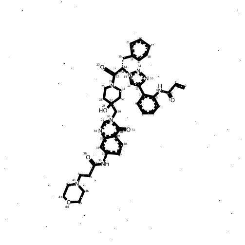 C=CC(=O)Nc1ccccc1-c1cn([C@@H](Cc2ccccc2)C(=O)N2CCC(O)(Cn3cnc4cc(NC(=O)CCN5CCOCC5)ccc4c3=O)CC2)nn1